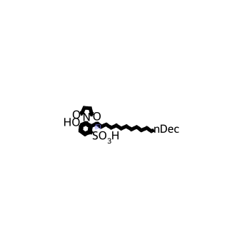 CCCCCCCCCCCCCCCCCCCC/C=C/c1c(S(=O)(=O)O)ccc(O)c1N1C(=O)CCC1=O